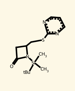 CC(C)(C)[Si](C)(C)N1C(=O)CC1CSc1ncccn1